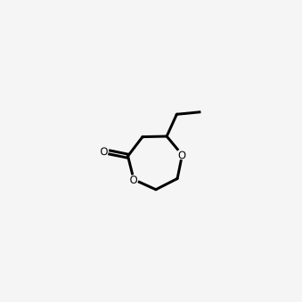 CCC1CC(=O)OCCO1